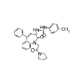 Cc1ccc(NC(=O)NC2C=C(c3ccccc3)c3ccccc3N(CC(=O)N3CCCC3)C2=O)cc1